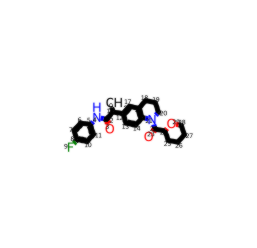 CC(C(=O)Nc1ccc(F)cc1)c1ccc2c(c1)CCCN2C(=O)C1CCCCO1